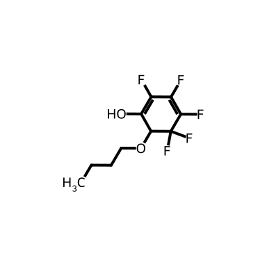 CCCCOC1C(O)=C(F)C(F)=C(F)C1(F)F